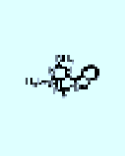 CNc1nc(N)nc(-c2ncn3ccccc23)c1C(F)(F)F